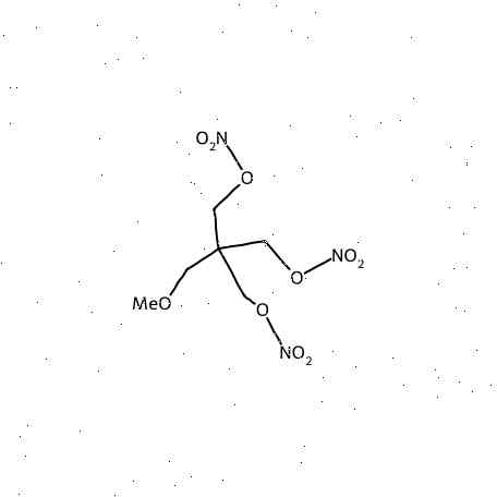 COCC(CO[N+](=O)[O-])(CO[N+](=O)[O-])CO[N+](=O)[O-]